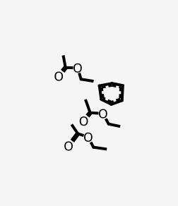 CCOC(C)=O.CCOC(C)=O.CCOC(C)=O.c1ccccc1